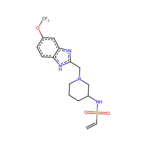 C=CS(=O)(=O)NC1CCCN(Cc2nc3cc(OC(F)(F)F)ccc3[nH]2)C1